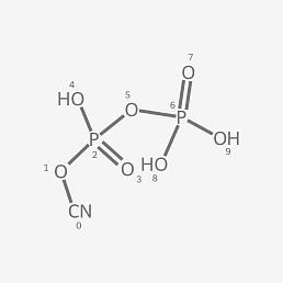 N#COP(=O)(O)OP(=O)(O)O